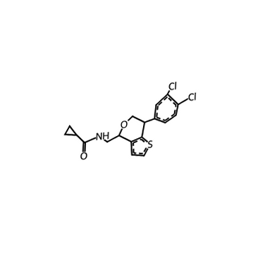 O=C(NCC1OCC(c2ccc(Cl)c(Cl)c2)c2sccc21)C1CC1